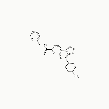 CN1CCN(c2nc3cc(C(=O)NCc4ccncc4)ccc3c3sccc23)CC1